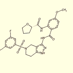 COc1ccc(C(=O)Nc2n[nH]c3c2CN(S(=O)(=O)c2cc(F)cc(F)c2)CC3)c(NC(=O)[C@@H]2CCCO2)c1